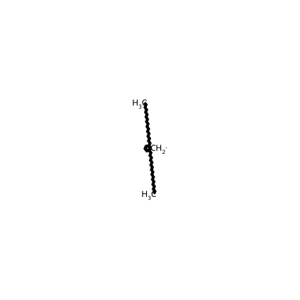 [CH2]c1c(CCCCCCCCCCCCCCCCCC)cccc1CCCCCCCCCCCCCCCCCC